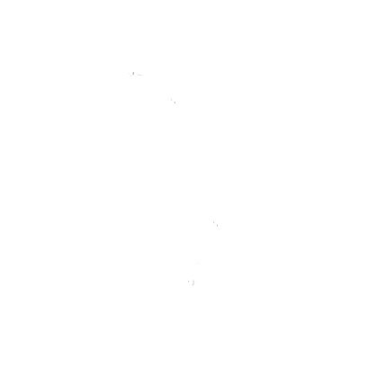 COc1ncc(-c2ccc(Cn3ccc4c(F)ccc(C(=O)NC5CCCC(C(=O)O)CCC5)c43)cc2)cc1Cl